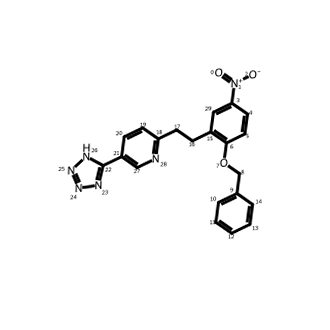 O=[N+]([O-])c1ccc(OCc2ccccc2)c(CCc2ccc(-c3nnn[nH]3)cn2)c1